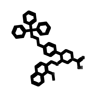 COc1c(COC2CN(C(=O)O)CCC2c2ccc(CCOC(c3ccccc3)(c3ccccc3)c3ccccc3)cc2)ccc2ccccc12